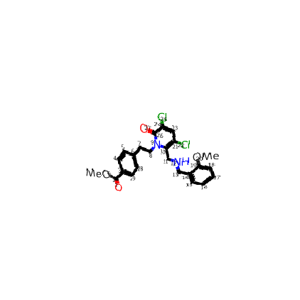 COC(=O)c1ccc(CCn2c(CNCc3ccccc3OC)c(Cl)cc(Cl)c2=O)cc1